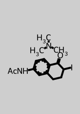 CC(=O)Nc1ccc2c(c1)CCC(I)C2=O.CN(C)C